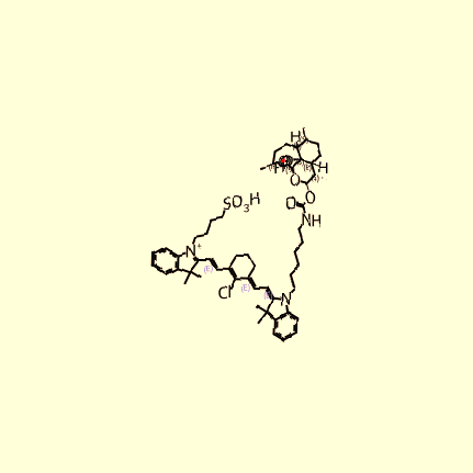 C[C@@H]1C(OC(=O)NCCCCCCN2/C(=C/C=C3\CCCC(/C=C/C4=[N+](CCCCS(=O)(=O)O)c5ccccc5C4(C)C)=C3Cl)C(C)(C)c3ccccc32)O[C@H]2O[C@@]3(C)CC[C@@H]4[C@@H](C)CC[C@H]1[C@]24OO3